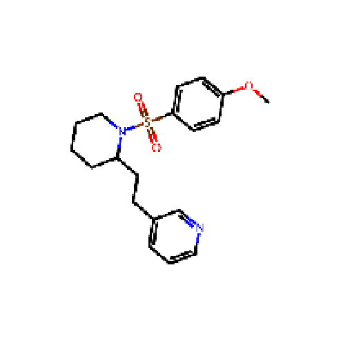 COc1ccc(S(=O)(=O)N2CCCCC2CCc2cccnc2)cc1